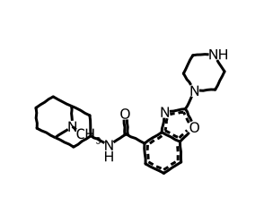 CN1C2CCCC1CC(NC(=O)c1cccc3oc(N4CCNCC4)nc13)C2